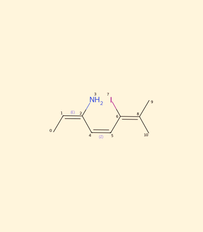 C/C=C(N)\C=C/C(I)=C(C)C